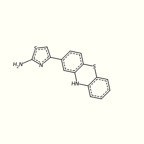 Nc1nc(-c2ccc3c(c2)Nc2ccccc2S3)cs1